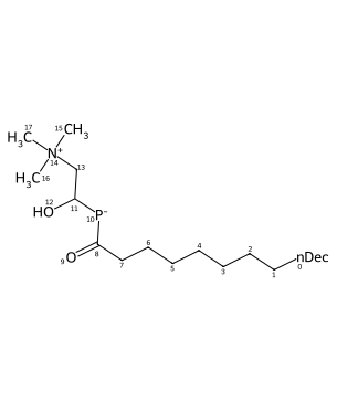 CCCCCCCCCCCCCCCCCC(=O)[P-]C(O)C[N+](C)(C)C